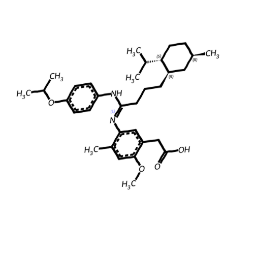 COc1cc(C)c(/N=C(\CCC[C@@H]2C[C@H](C)CC[C@H]2C(C)C)Nc2ccc(OC(C)C)cc2)cc1CC(=O)O